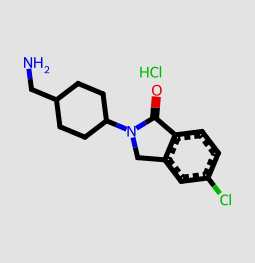 Cl.NCC1CCC(N2Cc3cc(Cl)ccc3C2=O)CC1